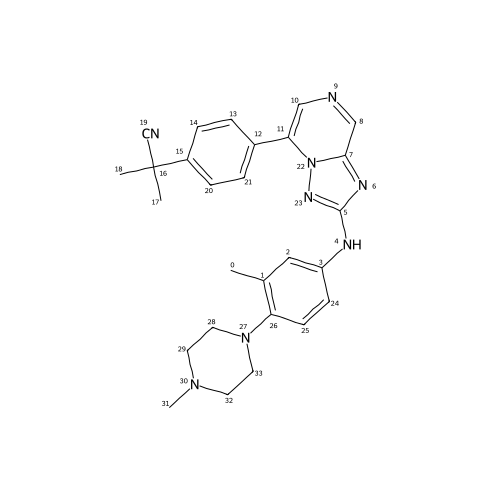 Cc1cc(Nc2nc3cncc(-c4ccc(C(C)(C)C#N)cc4)n3n2)ccc1N1CCN(C)CC1